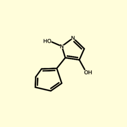 Oc1cnn(O)c1-c1ccccc1